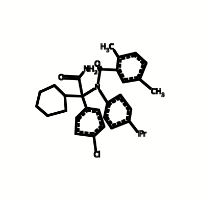 Cc1ccc(C)c(C(=O)N(c2ccc(C(C)C)cc2)C(C(N)=O)(c2ccc(Cl)cc2)C2CCCCC2)c1